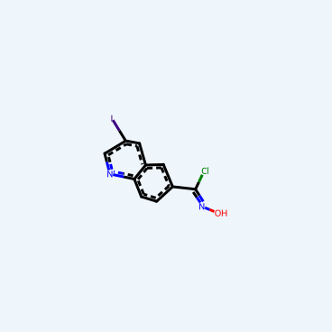 ON=C(Cl)c1ccc2ncc(I)cc2c1